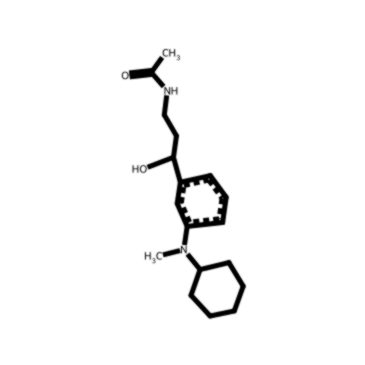 CC(=O)NCCC(O)c1cccc(N(C)C2CCCCC2)c1